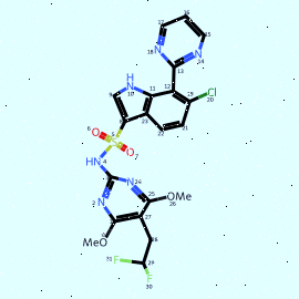 COc1nc(NS(=O)(=O)c2c[nH]c3c(-c4ncccn4)c(Cl)ccc23)nc(OC)c1CC(F)F